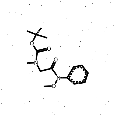 CON(C(=O)CN(C)C(=O)OC(C)(C)C)c1ccccc1